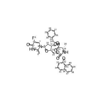 C=C1NC(=O)C(F)=CN1[C@H]1CC(O)[C@@H](COP(=O)(N[C@@H](C)C(=O)OCc2ccccc2)Oc2cccc3ccccc23)O1